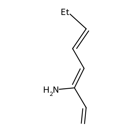 C=CC(N)=CC=CCC